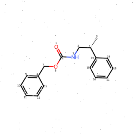 C[C@@H](CNC(=O)OCc1ccccc1)c1ccccc1